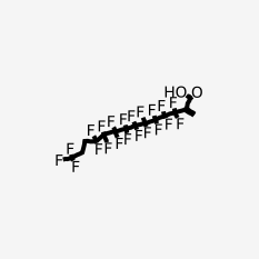 C=C(C(=O)O)C(F)(F)C(F)(F)C(F)(F)C(F)(F)C(F)(F)C(F)(F)C(F)(F)C(F)(F)C(F)(F)CCC(F)(F)F